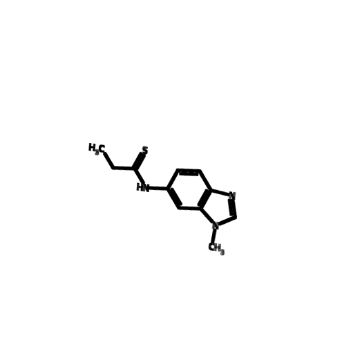 CCC(=S)Nc1ccc2ncn(C)c2c1